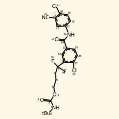 CC(C)(C)NC(=O)OCCCC(F)(F)c1cc(C(=O)Nc2ccc(Cl)c(C#N)c2)ccc1Cl